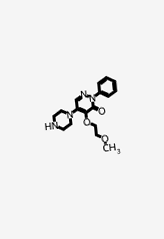 COCCOc1c(N2CCNCC2)cnn(-c2ccccc2)c1=O